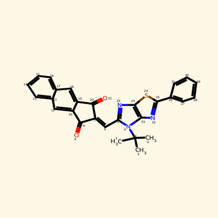 CC(C)(C)n1c(C=C2C(=O)c3cc4ccccc4cc3C2=O)nc2sc(-c3ccccc3)nc21